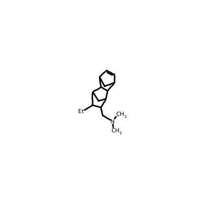 CCC1C(CN(C)C)C2CC1C1C3C=CC(C3)C21